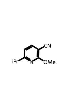 COc1nc(C(C)C)ccc1C#N